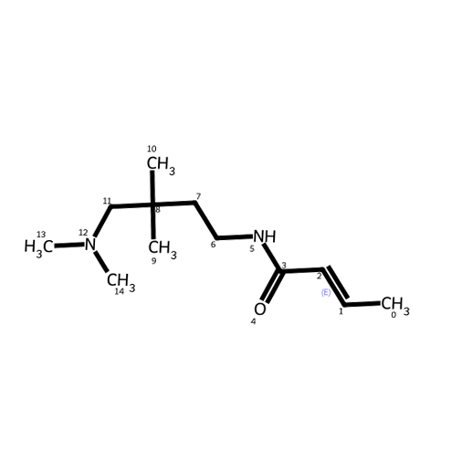 C/C=C/C(=O)NCCC(C)(C)CN(C)C